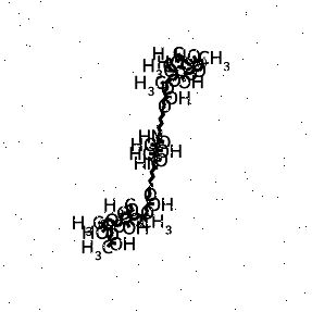 COC1CCC(OC2OC[C@@H](C)C(O)C2OCC(C)O)C(O)C1OCC(C)OCC(O)COCCCCCCNC(=O)C(O)C(O)C(O)C(=O)NCCCCCCOCC(O)COC(C)COC1C(OC)OCC(OC2OC[C@H](C)C(O)C2OCC(C)O)C1O